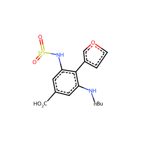 CCCCNc1cc(C(=O)O)cc(N[SH](=O)=O)c1-c1ccoc1